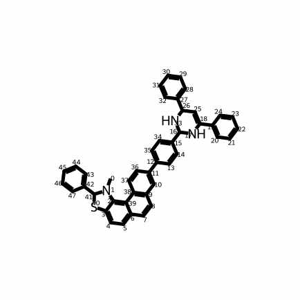 CN1c2c(ccc3ccc4cc(-c5ccc(C6NC(c7ccccc7)=CC(c7ccccc7)N6)cc5)ccc4c23)SC1c1ccccc1